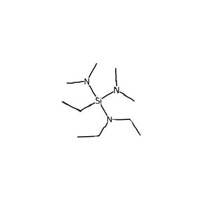 CCN(CC)[Si](CC)(N(C)C)N(C)C